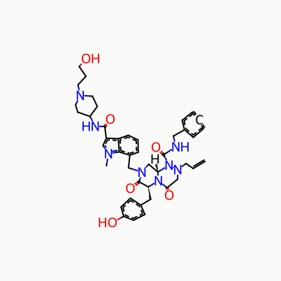 C=CCN1CC(=O)N2[C@@H](Cc3ccc(O)cc3)C(=O)N(Cc3cccc4c(C(=O)NC5CCN(CCCO)CC5)cn(C)c34)C[C@@H]2N1C(=O)NCc1ccccc1